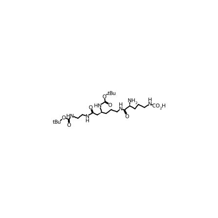 CC(C)(C)OC(=O)NCCNC(=O)C[C@H](CCCNC(=O)[C@@H](N)CCCNC(=O)O)NC(=O)OC(C)(C)C